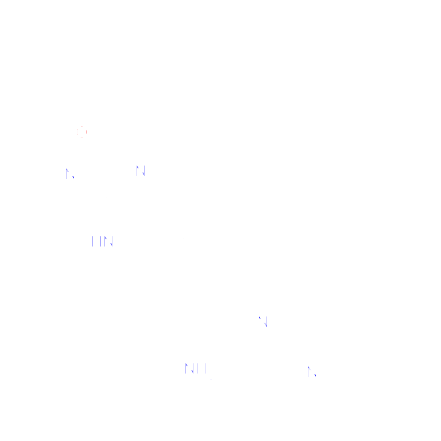 Cc1cn(-c2ccc(Nc3noc(Cc4ccccc4)n3)cc2N)cn1